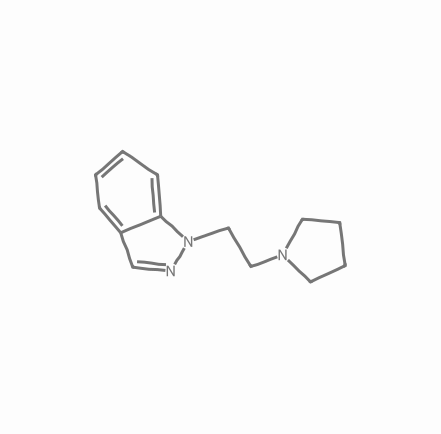 c1ccc2c(c1)cnn2CCN1CCCC1